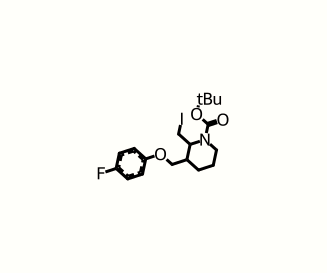 CC(C)(C)OC(=O)N1CCCC(COc2ccc(F)cc2)C1CI